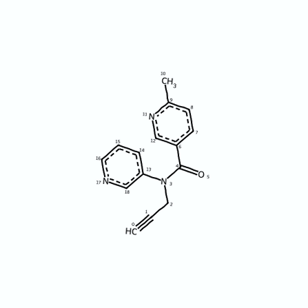 C#CCN(C(=O)c1ccc(C)nc1)c1cccnc1